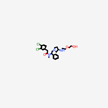 CN(C(=O)Cc1ccc(Cl)c(Cl)c1)C(CN1CCC(NCCOCCO)C1)c1ccccc1